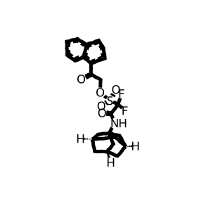 O=C(COS(=O)(=O)C(F)(F)C(=O)NC12C[C@H]3C[C@@H](C1)C[C@@H](C2)C3)c1cccc2ccccc12